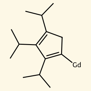 CC(C)C1=C(C(C)C)C(C(C)C)=[C]([Gd])C1